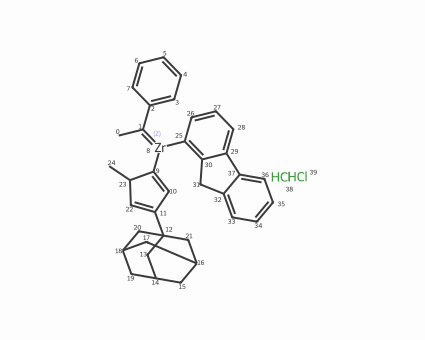 C/[C](c1ccccc1)=[Zr](\[C]1=CC(C23CC4CC(CC(C4)C2)C3)=CC1C)[c]1cccc2c1Cc1ccccc1-2.Cl.Cl